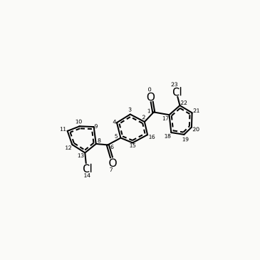 O=C(c1ccc(C(=O)c2ccccc2Cl)cc1)c1ccccc1Cl